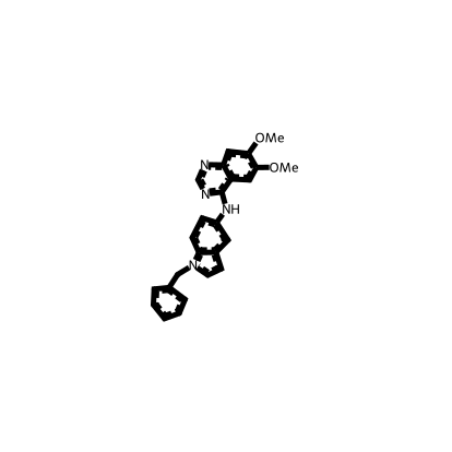 COc1cc2ncnc(Nc3ccc4c(ccn4Cc4ccccc4)c3)c2cc1OC